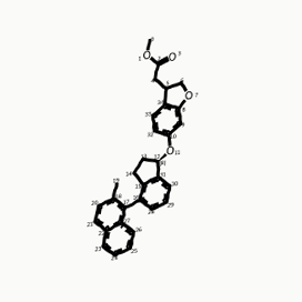 COC(=O)CC1COc2cc(O[C@@H]3CCc4c(-c5c(C)ccc6ccccc56)cccc43)ccc21